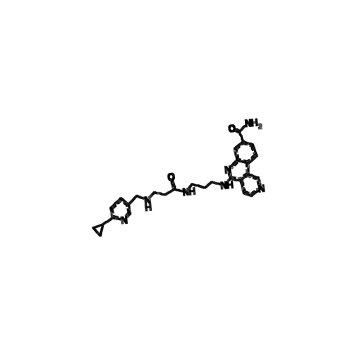 NC(=O)c1ccc2c(c1)nc(NCCCNC(=O)CCNCc1ccc(C3CC3)nc1)c1ccncc12